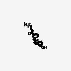 CCCCC(=O)C1CCCN(Cc2ccc3cc(O)ccc3n2)C1